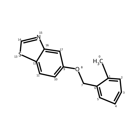 Cc1ccccc1COc1ccc2scnc2c1